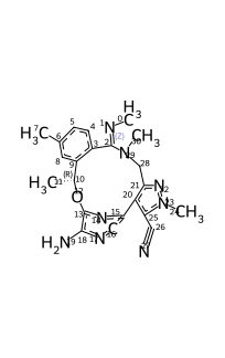 C/N=C1/c2ccc(C)cc2[C@@H](C)Oc2nc(cnc2N)-c2c(nn(C)c2C#N)CN1C